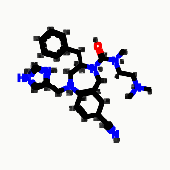 CN(C)CCN(C)C(=O)N1CC2=C(C=CC(C#N)C2)N(Cc2c[nH]cn2)C[C@H]1Cc1ccccc1